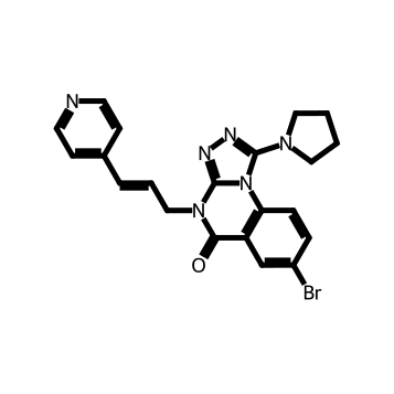 O=c1c2cc(Br)ccc2n2c(N3CCCC3)nnc2n1C/C=C/c1ccncc1